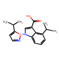 CC(C)c1cccc2[nH]cc(C(=O)O)c12.CC(C)c1ccno1